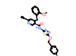 C#Cc1cc(Cc2ccccc2OC)c(C(=O)Nc2nnc(OCc3ccc(Cl)cc3)s2)cn1